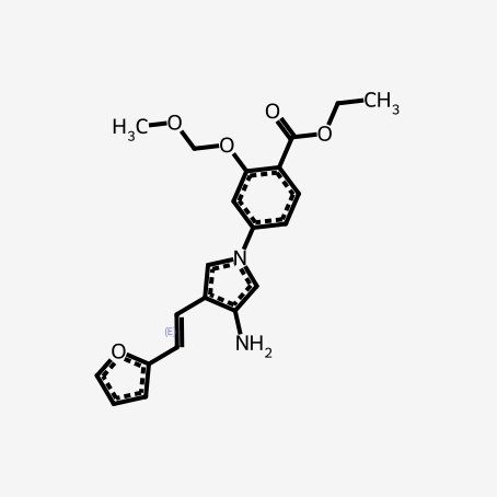 CCOC(=O)c1ccc(-n2cc(N)c(/C=C/c3ccco3)c2)cc1OCOC